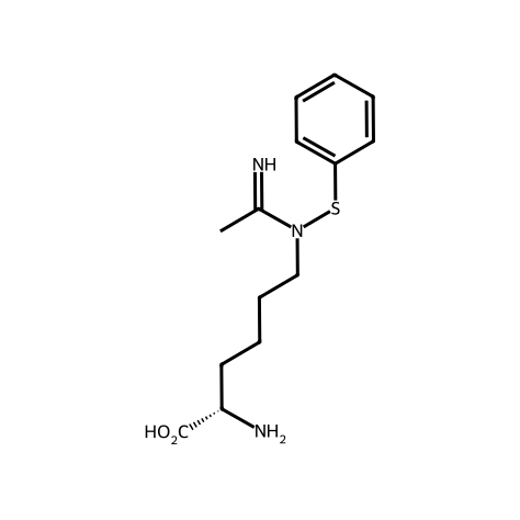 CC(=N)N(CCCC[C@H](N)C(=O)O)Sc1ccccc1